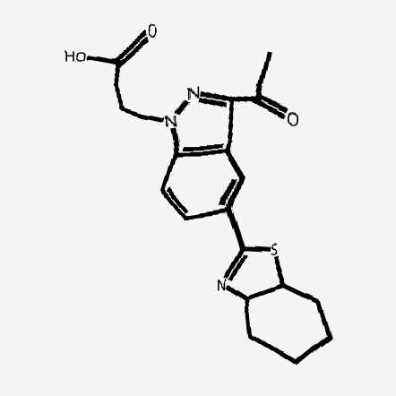 CC(=O)c1nn(CC(=O)O)c2ccc(C3=NC4CCCCC4S3)cc12